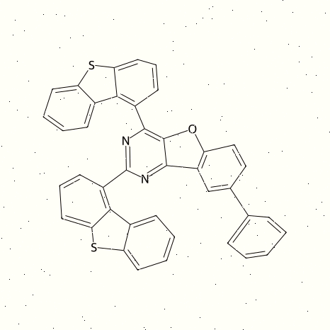 c1ccc(-c2ccc3oc4c(-c5cccc6sc7ccccc7c56)nc(-c5cccc6sc7ccccc7c56)nc4c3c2)cc1